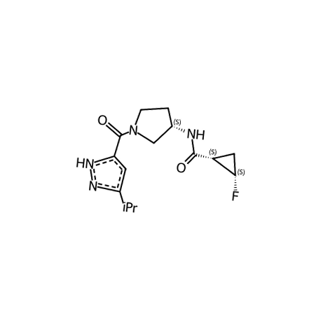 CC(C)c1cc(C(=O)N2CC[C@H](NC(=O)[C@@H]3C[C@@H]3F)C2)[nH]n1